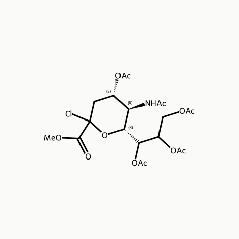 COC(=O)C1(Cl)C[C@H](OC(C)=O)[C@@H](NC(C)=O)[C@H](C(OC(C)=O)C(COC(C)=O)OC(C)=O)O1